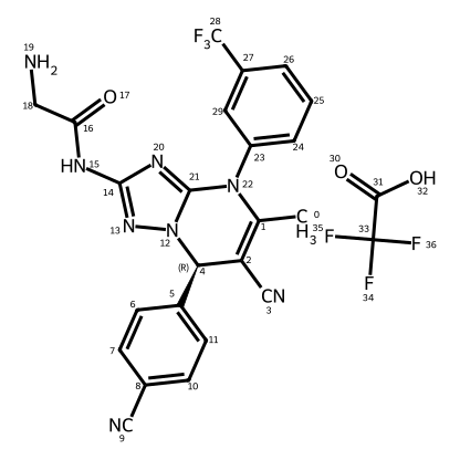 CC1=C(C#N)[C@@H](c2ccc(C#N)cc2)n2nc(NC(=O)CN)nc2N1c1cccc(C(F)(F)F)c1.O=C(O)C(F)(F)F